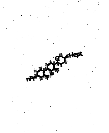 CCCCCCCC1CCC(c2ccc(-c3ccc(CCC)cc3F)c(F)c2F)OC1